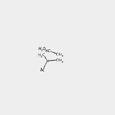 CC#N.CC(=O)N(C)C.O